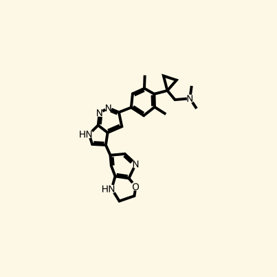 Cc1cc(-c2cc3c(-c4cnc5c(c4)NCCO5)c[nH]c3nn2)cc(C)c1C1(CN(C)C)CC1